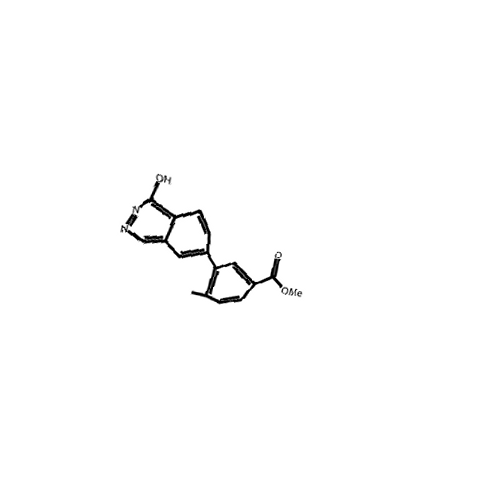 COC(=O)c1ccc(C)c(-c2ccc3c(O)nncc3c2)c1